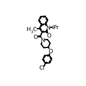 Cc1c(C(=O)N2CCC(Oc3ccc(Cl)cc3)CC2)c(=O)n(C(C)C)c2ccccc12